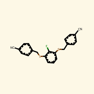 N#Cc1ccc(CSc2cccc(SCc3ccc(C#N)cc3)c2F)cc1